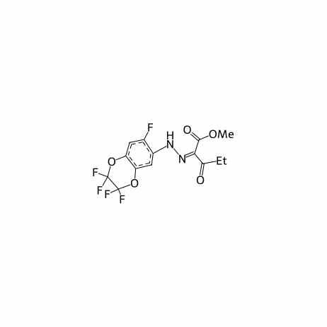 CCC(=O)C(=NNc1cc2c(cc1F)OC(F)(F)C(F)(F)O2)C(=O)OC